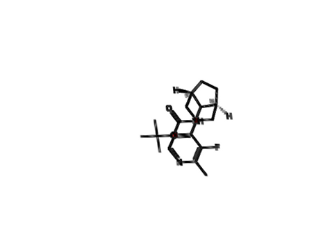 Cc1ncnc(N2C[C@@H]3CC[C@@H](C2)C3NC(=O)OC(C)(C)C)c1F